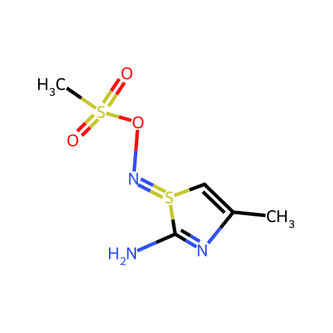 CC1=CS(=NOS(C)(=O)=O)C(N)=N1